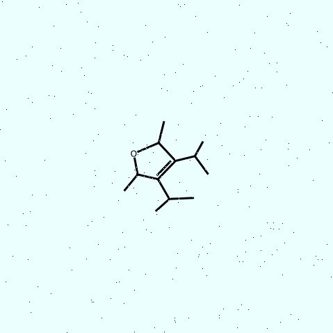 CC(C)C1=C(C(C)C)C(C)OC1C